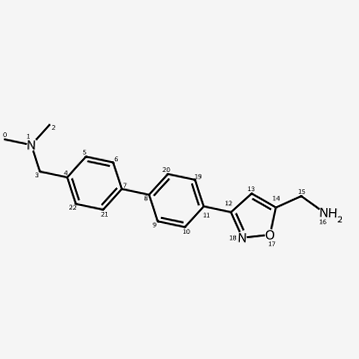 CN(C)Cc1ccc(-c2ccc(-c3cc(CN)on3)cc2)cc1